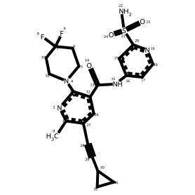 Cc1nc(N2CCC(F)(F)CC2)c(C(=O)Nc2ccnc(S(N)(=O)=O)c2)cc1C#CC1CC1